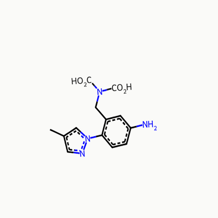 Cc1cnn(-c2ccc(N)cc2CN(C(=O)O)C(=O)O)c1